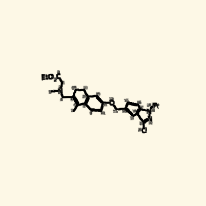 CCOC(=O)CN(C)CC1=C(C)c2ccc(OCc3ccc4c(c3)c(Cl)nn4C(C)C)cc2CC1